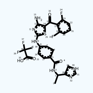 CC(NC(=O)c1ccc(Nc2nc(N)c(C(=O)c3c(F)cccc3F)s2)cc1)c1c[nH]cn1.O=C(O)C(F)(F)F